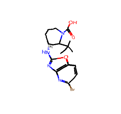 CC(C)(C)C1[C@H](Nc2nc3nc(Br)ccc3o2)CCCN1C(=O)O